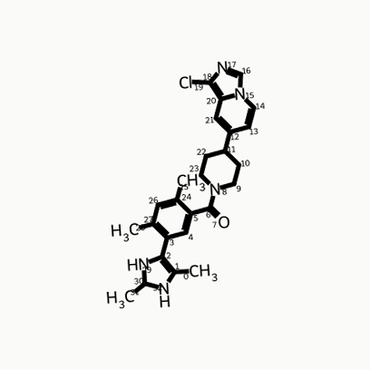 CC1=C(c2cc(C(=O)N3CCC(c4ccn5cnc(Cl)c5c4)CC3)c(C)cc2C)NC(C)N1